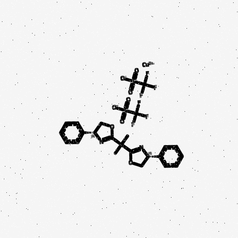 CC(C)(C1=N[C@H](c2ccccc2)CO1)C1=N[C@H](c2ccccc2)CO1.O=S(=O)([O-])C(F)(F)F.O=S(=O)([O-])C(F)(F)F.[Cu+2]